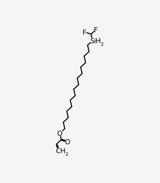 C=CC(=O)OCCCCCCCCCCCCCCCC[SiH2]C(F)F